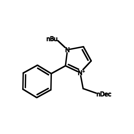 CCCCCCCCCCC[n+]1ccn(CCCC)c1-c1ccccc1